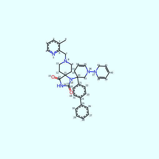 Cc1cccnc1CN1CCC2(CC1)C(=O)NC(=O)N2C1(c2ccc(-c3ccccc3)cc2)CC=CN(N2C=CC=CC2)C1